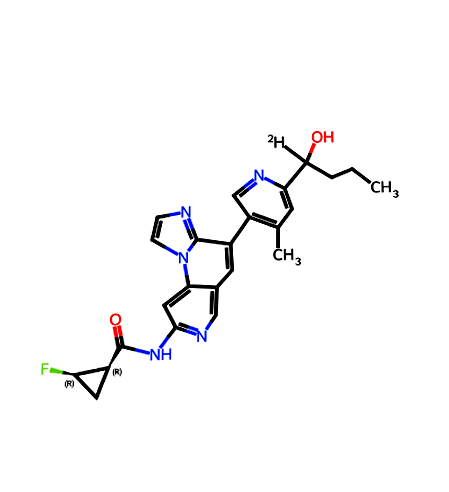 [2H]C(O)(CCC)c1cc(C)c(-c2cc3cnc(NC(=O)[C@H]4C[C@H]4F)cc3n3ccnc23)cn1